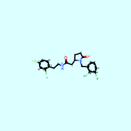 O=C(CC1CCC(=O)N1Cc1cccc(F)c1F)NCCc1ccc(F)cc1F